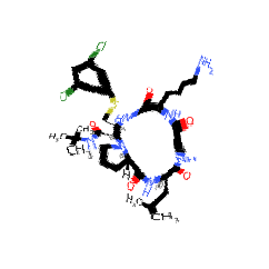 CC(C)C[C@H]1NC(=O)[C@@H]2CCCN2[C@H](C(=O)NC(C)(C)C)[C@H](CSc2cc(Cl)cc(Cl)c2)NC(=O)C(CCCCN)NC(=O)CNC1=O